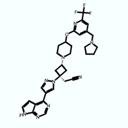 N#CC[C@]1(n2cc(-c3ncnc4[nH]ccc34)cn2)C[C@H](N2CCC(Oc3cc(CN4CCCC4)cc(C(F)(F)F)n3)CC2)C1